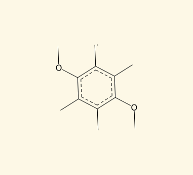 [CH2]c1c(C)c(OC)c(C)c(C)c1OC